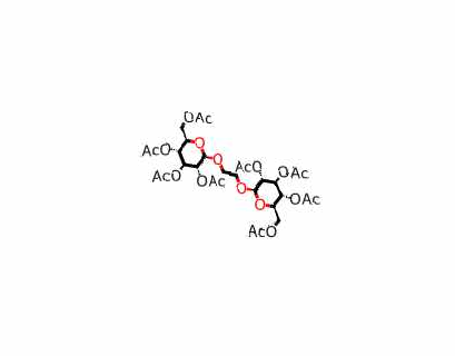 CC(=O)OC[C@H]1O[C@@H](OCCO[C@@H]2O[C@H](COC(C)=O)[C@@H](OC(C)=O)[C@H](OC(C)=O)[C@H]2OC(C)=O)[C@H](OC(C)=O)[C@@H](OC(C)=O)[C@@H]1OC(C)=O